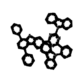 c1ccc(-c2ccc(-c3ccccc3)c3c2sc2cc(-c4nc(-c5ccccc5-n5c6ccccc6c6ccccc65)nc(-n5c6ccccc6c6ccccc65)n4)ccc23)cc1